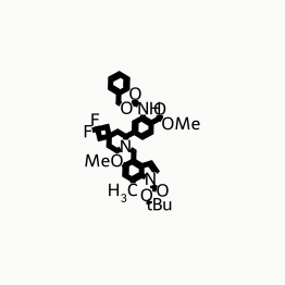 COC(=O)c1ccc(C2CC3(CCN2Cc2c(OC)cc(C)c4c2ccn4C(=O)OC(C)(C)C)CC(F)(F)C3)cc1NC(=O)OCc1ccccc1